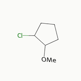 COC1CCCC1Cl